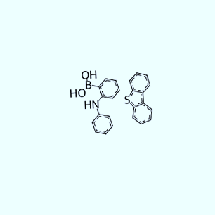 OB(O)c1ccccc1Nc1ccccc1.c1ccc2c(c1)sc1ccccc12